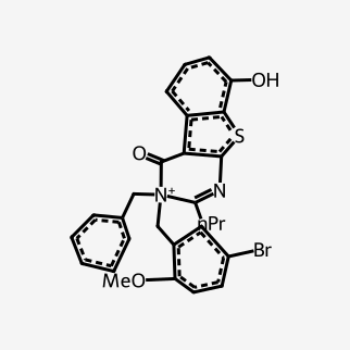 CCCC1=Nc2sc3c(O)cccc3c2C(=O)[N+]1(Cc1ccccc1)Cc1cc(Br)ccc1OC